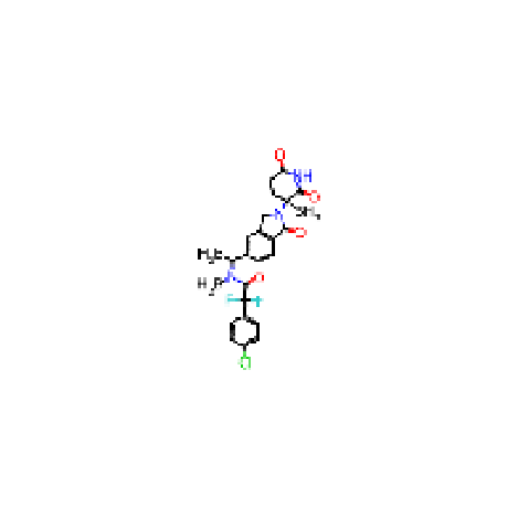 BC(c1ccc2c(c1)CN([C@@]1(B)CCC(=O)NC1=O)C2=O)N(B)C(=O)C(F)(F)c1ccc(Cl)cc1